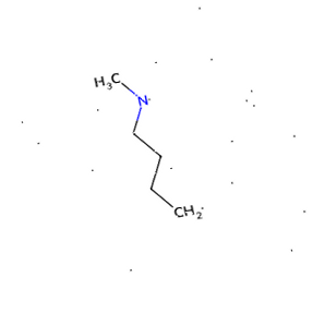 [CH2]CCC[N]C